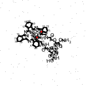 C[Si](C)(CCCNC(=O)COCC(=O)ON)O[Si]1(O[Si](C)(C)CCCNC(=O)NCC(S(=O)(=O)NO)S(=O)(=O)ON)n2c3c4ccccc4c2/N=C2N=C(/N=c4/c5ccccc5/c(n41)=N/C1=NC(=N\3)/c3ccccc31)c1ccccc1\2